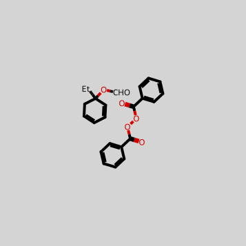 CCC1(OC=O)C=CC=CC1.O=C(OOC(=O)c1ccccc1)c1ccccc1